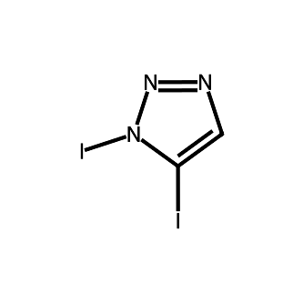 Ic1cnnn1I